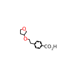 O=C(O)c1ccc(CCOC2CCOC2)cc1